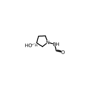 O=CBN1CC[C@@H](O)C1